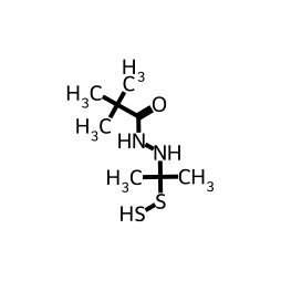 CC(C)(NNC(=O)C(C)(C)C)SS